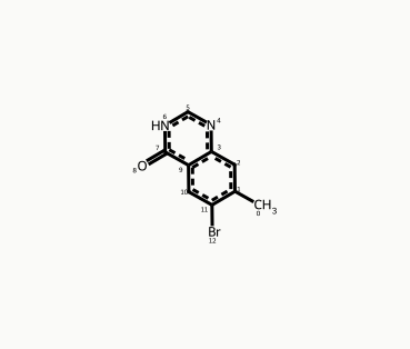 Cc1cc2nc[nH]c(=O)c2cc1Br